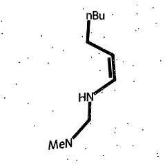 CCCCC/C=C\NCNC